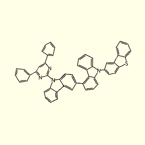 c1ccc(-c2cc(-c3ccccc3)nc(-n3c4ccccc4c4cc(-c5cccc6c5c5ccccc5n6-c5ccc6sc7ccccc7c6c5)ccc43)n2)cc1